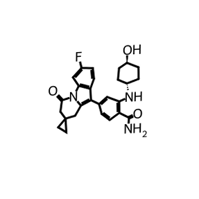 NC(=O)c1ccc(-c2c3n(c4cc(F)ccc24)C(=O)CC2(CC2)C3)cc1N[C@H]1CC[C@H](O)CC1